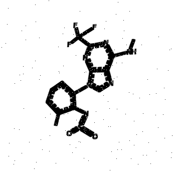 CNc1nc(C(F)(F)F)nc2c1ncn2-c1cccc(C)c1N=S(=O)=O